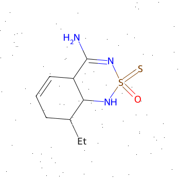 CCC1CC=CC2C(N)=NS(=O)(=S)NC12